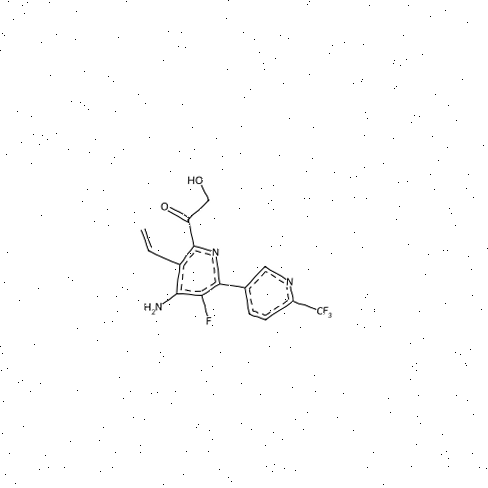 C=Cc1c(C(=O)CO)nc(-c2ccc(C(F)(F)F)nc2)c(F)c1N